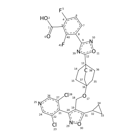 O=C(O)c1c(F)ccc(-c2noc(C34CCC(OCc5c(-c6c(Cl)cncc6Cl)noc5C5CC5)(CC3)CC4)n2)c1F